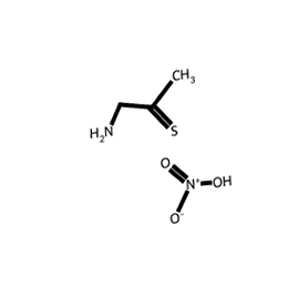 CC(=S)CN.O=[N+]([O-])O